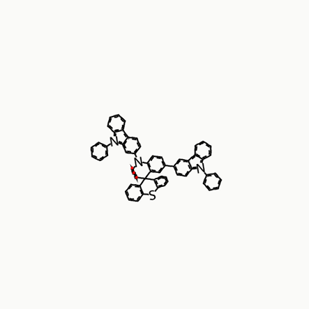 c1ccc(-n2c3ccccc3c3cc(-c4ccc5c(c4)C4(c6ccccc6Sc6ccccc64)c4ccccc4N5c4ccc5c6ccccc6n(-c6ccccc6)c5c4)ccc32)cc1